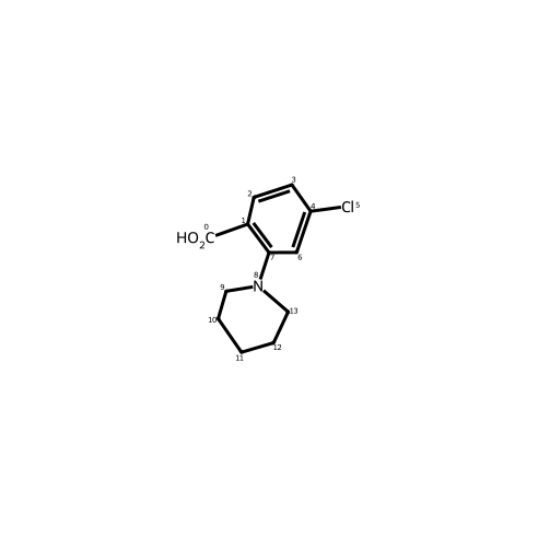 O=C(O)c1ccc(Cl)cc1N1CCCCC1